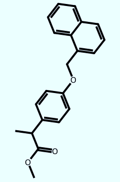 COC(=O)C(C)c1ccc(OCc2cccc3ccccc23)cc1